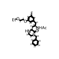 CCOCCOc1cc(F)cc(C[C@@H](C[C@@H]2NCCN(Cc3ccccc3)C2=O)NC(C)=O)c1